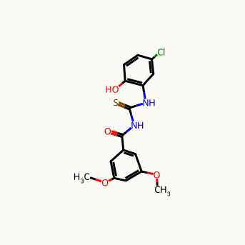 COc1cc(OC)cc(C(=O)NC(=S)Nc2cc(Cl)ccc2O)c1